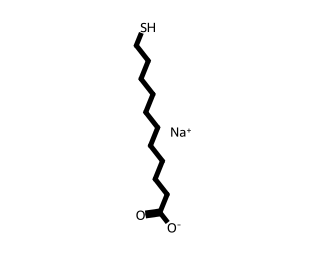 O=C([O-])CCCCCCCCCCS.[Na+]